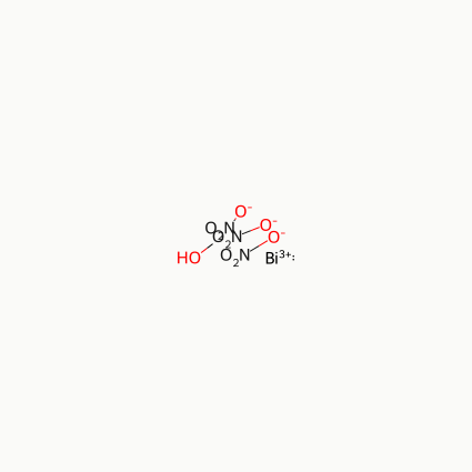 CO.O=[N+]([O-])[O-].O=[N+]([O-])[O-].O=[N+]([O-])[O-].[Bi+3]